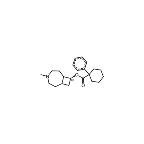 CN1CCC2C[C@H](OC(=O)C3(c4ccccc4)CCCCC3)C2CC1